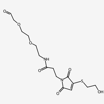 O=CCOCCOCCNC(=O)CCN1C(=O)C=C(SCCO)C1=O